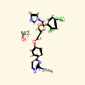 CSc1nccc(-c2ccc(OCC3COC(Cn4ccnc4)(c4ccc(Cl)cc4Cl)O3)cc2)n1.O=[N+]([O-])O